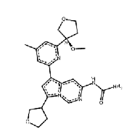 CO[C@]1(c2cc(C)cc(-c3cc(C4CCOC4)n4cnc(NC(N)=O)cc34)n2)CCOC1